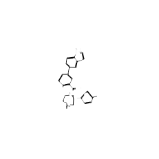 CN1CCN(C(=O)c2cc(-c3ccc4[nH]ccc4c3)ccc2F)[C@@H](c2ccc(F)cc2)C1